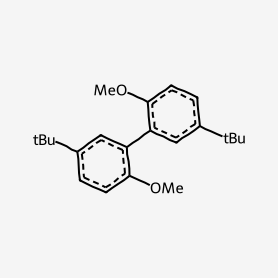 COc1ccc(C(C)(C)C)cc1-c1cc(C(C)(C)C)ccc1OC